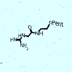 CCCCCCCNC(=O)CNC(=N)N